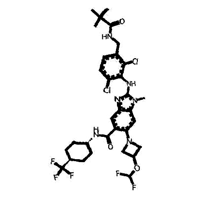 Cn1c(Nc2c(Cl)ccc(CNC(=O)C(C)(C)C)c2Cl)nc2cc(C(=O)N[C@H]3CC[C@H](C(F)(F)F)CC3)c(N3CC(OC(F)F)C3)cc21